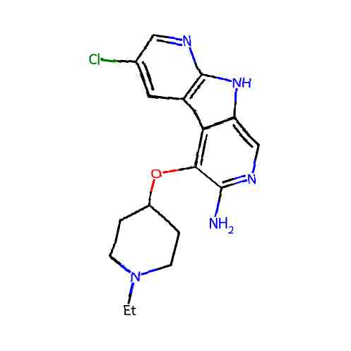 CCN1CCC(Oc2c(N)ncc3[nH]c4ncc(Cl)cc4c23)CC1